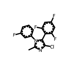 Cc1nc(Cl)c(-c2c(F)cc(F)cc2F)n1-c1cccc(F)c1